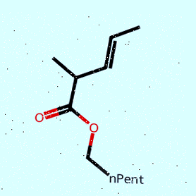 CC=CC(C)C(=O)OCCCCCC